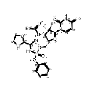 CCC(=O)O[C@@H]1[C@@H](COP(=O)(NC(CC)C2OCCO2)Oc2ccccc2)OC(n2ccc(=O)[nH]c2=O)[C@]1(C)F